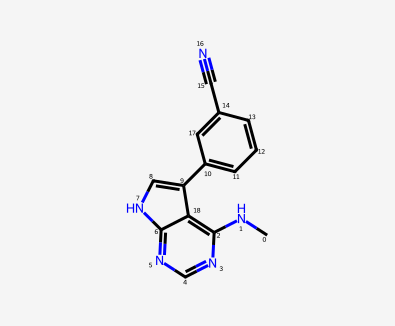 CNc1ncnc2[nH]cc(-c3cccc(C#N)c3)c12